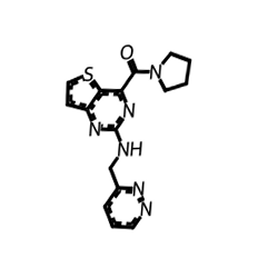 O=C(c1nc(NCc2cccnn2)nc2ccsc12)N1CCCC1